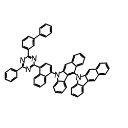 c1ccc(-c2cccc(-c3nc(-c4ccccc4)nc(-c4ccc(-n5c6ccccc6c6c(-n7c8ccccc8c8cc9ccccc9cc87)c7ccccc7cc65)c5ccccc45)n3)c2)cc1